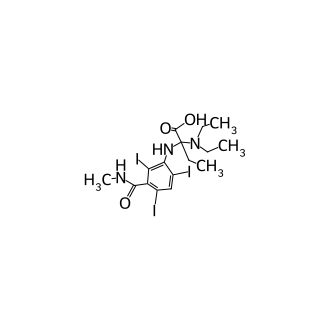 CCN(CC)C(CC)(Nc1c(I)cc(I)c(C(=O)NC)c1I)C(=O)O